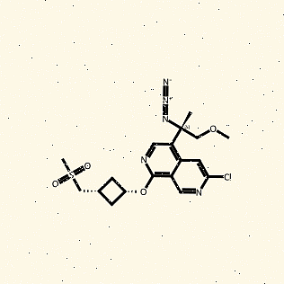 COC[C@@](C)(N=[N+]=[N-])c1cnc(O[C@H]2C[C@@H](CS(C)(=O)=O)C2)c2cnc(Cl)cc12